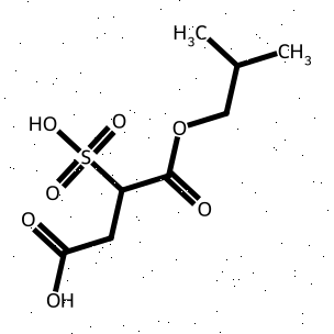 CC(C)COC(=O)C(CC(=O)O)S(=O)(=O)O